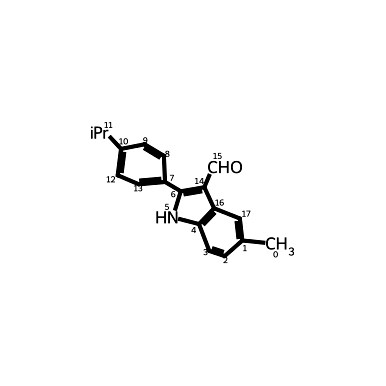 Cc1ccc2[nH]c(-c3ccc(C(C)C)cc3)c(C=O)c2c1